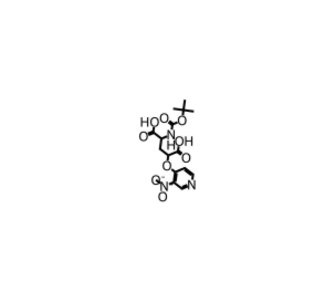 CC(C)(C)OC(=O)NC(CC(Oc1ccncc1[N+](=O)[O-])C(=O)O)C(=O)O